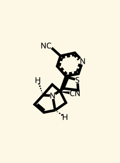 N#Cc1cncc([C@]2(C#N)C[C@H]3C=C[C@@H](C2)N3C2CSC2)c1